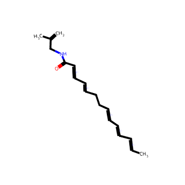 C=C(C)CNC(=O)/C=C/C=C/CC/C=C/C=C/C=C/C